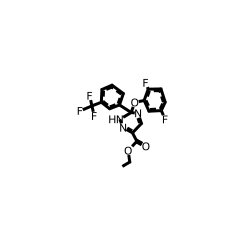 CCOC(=O)C1=NNC(Oc2cc(F)ccc2F)(c2cccc(C(F)(F)F)c2)N=C1